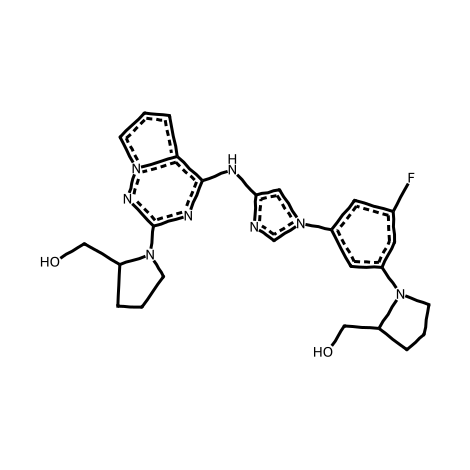 OCC1CCCN1c1cc(F)cc(-n2cnc(Nc3nc(N4CCCC4CO)nn4cccc34)c2)c1